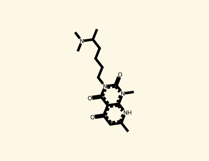 Cc1cc(=O)c2c(=O)n(CCCCC(C)N(C)C)c(=O)n(C)c2[nH]1